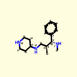 CN[C@@H](c1ccccc1)[C@@H](C)CNC1CCNCC1